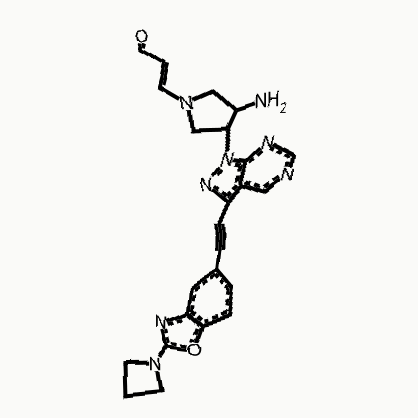 NC1CN(C=CC=O)CC1n1nc(C#Cc2ccc3oc(N4CCC4)nc3c2)c2cncnc21